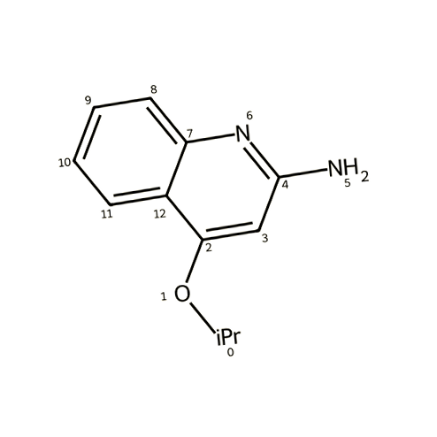 CC(C)Oc1cc(N)nc2ccccc12